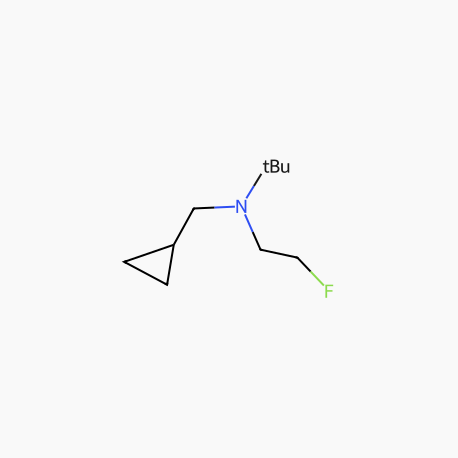 CC(C)(C)N(CCF)CC1CC1